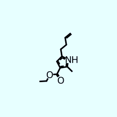 C=CCCc1cc(C(=O)OCC)c(C)[nH]1